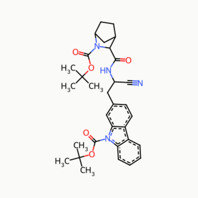 CC(C)(C)OC(=O)N1C2CCC(C2)C1C(=O)NC(C#N)Cc1ccc2c3ccccc3n(C(=O)OC(C)(C)C)c2c1